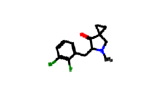 BN1CC2(CC2)C(=O)C1Cc1cccc(Br)c1F